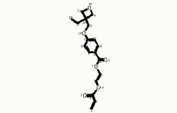 C=CC(=O)OCCOC(=O)c1ccc(OCC2(CC)COC2)cc1